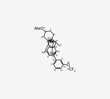 COC1CCC23Cc4ccc(-c5cccc(OC(F)(F)F)c5)cc4C2(C)N=C(N)N(C)CC3C1